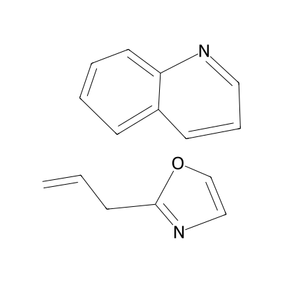 C=CCc1ncco1.c1ccc2ncccc2c1